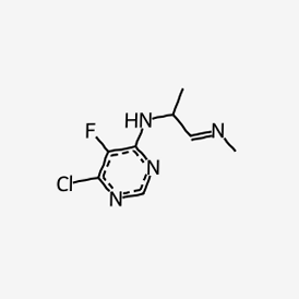 CN=CC(C)Nc1ncnc(Cl)c1F